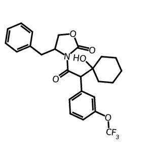 O=C1OCC(Cc2ccccc2)N1C(=O)C(c1cccc(OC(F)(F)F)c1)C1(O)CCCCC1